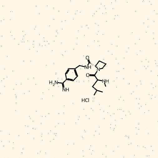 CNC(CC(C)C)C(=O)N1CCC[C@H]1C(=O)NCc1ccc(C(=N)N)cc1.Cl